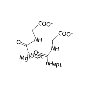 CCCCCCCC(=O)NCC(=O)[O-].CCCCCCCC(=O)NCC(=O)[O-].[Mg+2]